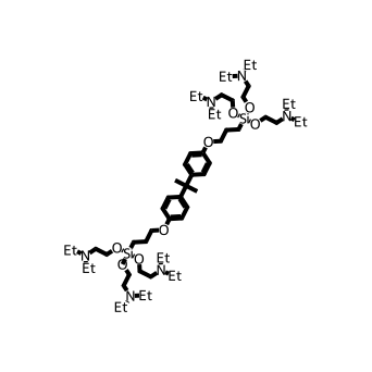 CCN(CC)CCO[Si](CCCOc1ccc(C(C)(C)c2ccc(OCCC[Si](OCCN(CC)CC)(OCCN(CC)CC)OCCN(CC)CC)cc2)cc1)(OCCN(CC)CC)OCCN(CC)CC